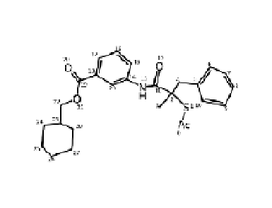 CC(=O)SC(C)(Cc1ccccc1)C(=O)Nc1cccc(C(=O)OCC2CCCCC2)c1